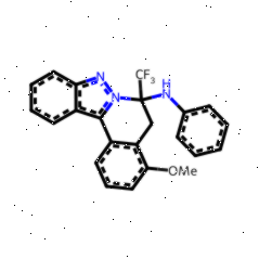 COc1cccc2c1CC(Nc1ccccc1)(C(F)(F)F)n1nc3ccccc3c1-2